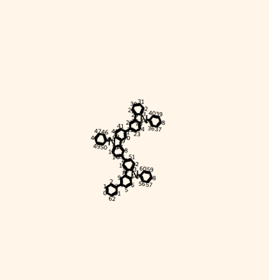 c1ccc(-c2ccc3c(c2)c2cc(-c4ccc5c(c4)c4cc(-c6ccc7c(c6)c6ccccc6n7-c6ccccc6)ccc4n5-c4ccccc4)ccc2n3-c2ccccc2)cc1